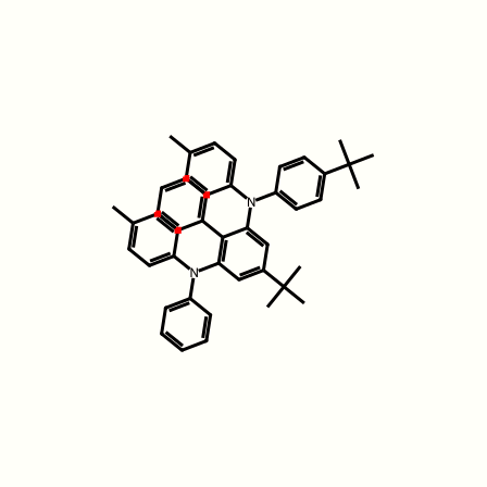 Cc1ccc(N(c2ccccc2)c2cc(C(C)(C)C)cc(N(c3ccc(C)cc3)c3ccc(C(C)(C)C)cc3)c2-c2ccccc2)cc1